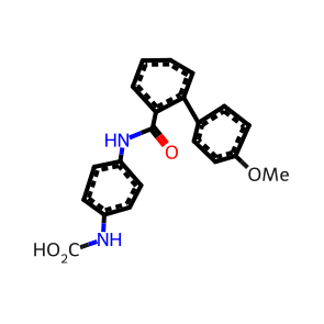 COc1ccc(-c2ccccc2C(=O)Nc2ccc(NC(=O)O)cc2)cc1